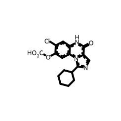 O=C(O)Oc1cc2c(cc1Cl)[nH]c(=O)c1cnc(C3CCCCC3)n12